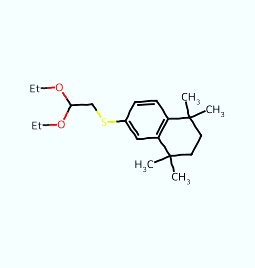 CCOC(CSc1ccc2c(c1)C(C)(C)CCC2(C)C)OCC